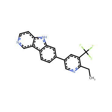 CCc1ncc(-c2ccc3c(c2)[nH]c2ccncc23)cc1C(F)(F)F